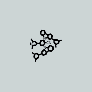 Cc1cc(C)cc(-c2ccc3c4ccccc4n(-c4cc(-c5cc(C)nc(C)c5)cc(-n5c6ccccc6c6ccc(-c7cc(C)cc(C)c7)cc65)c4C#N)c3c2)c1